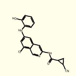 N#CC1CC1C(=O)Nc1cc2cc(Nc3ccccc3O)cc(Cl)c2cn1